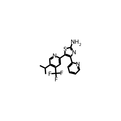 CC(C)c1cnc(-c2sc(N)nc2-c2ccccn2)cc1C(F)(F)F